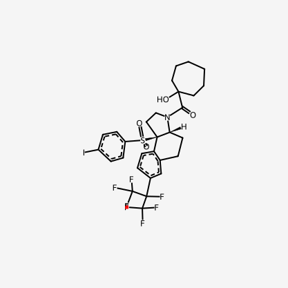 O=C(N1CC[C@@]2(S(=O)(=O)c3ccc(I)cc3)c3ccc(C(F)(C(F)(F)F)C(F)(F)F)cc3CC[C@@H]12)C1(O)CCCCCC1